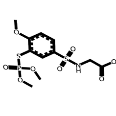 COc1ccc(S(=O)(=O)NCC(=O)O)cc1SP(=O)(OC)OC